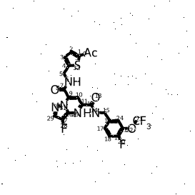 CC(=O)c1ccc(CNC(=O)c2cc(C(=O)NCc3ccc(F)c(OC(F)(F)F)c3)nc3c(F)cnn23)s1